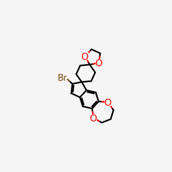 BrC1=Cc2cc3c(cc2C12CCC1(CC2)OCCO1)OCCCO3